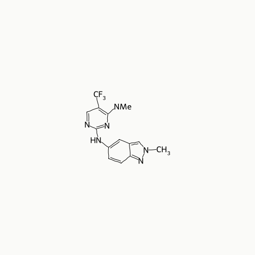 CNc1nc(Nc2ccc3nn(C)cc3c2)ncc1C(F)(F)F